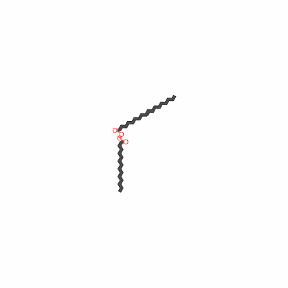 CCCCCCCCC=CCCCCCCCC(=O)OOC(=O)CCCCCCCCCCCCC